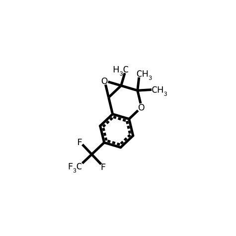 CC1(C)Oc2ccc(C(F)(F)C(F)(F)F)cc2C2OC21C